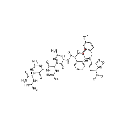 COc1ccc(CN(c2ccc([N+](=O)[O-])c3nonc23)C(O)C(=O)NC(C(=O)NC(NC(=N)N)C(=O)NC(NC(=N)N)C(=O)NC(NC(=N)N)C(=O)NC(NC(=N)N)C(N)=O)c2ccccc2)c(OC)c1